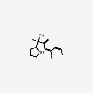 C=C(/C=C(F)\C=C/C)[C@@](C)(O)[C@@H]1CCCN1